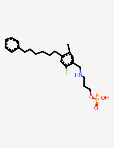 Cc1cc(CNCCCO[PH](=O)O)c(F)cc1CCCCCCc1ccccc1